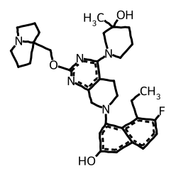 CCc1c(F)ccc2cc(O)cc(N3CCc4c(nc(OCC56CCCN5CCC6)nc4N4CCCC(C)(O)C4)C3)c12